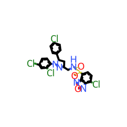 O=S(=O)(NCC1=NN(c2ccc(Cl)cc2Cl)C(c2ccc(Cl)cc2)C1)c1ccc(Cl)c2nonc12